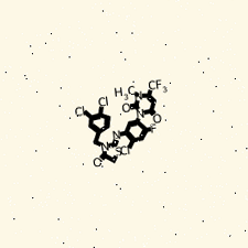 Cn1c(C(F)(F)F)cc(=O)n(-c2cc(/N=C3\SCC(=O)N3Cc3ccc(Cl)c(Cl)c3)c(Cl)cc2F)c1=O